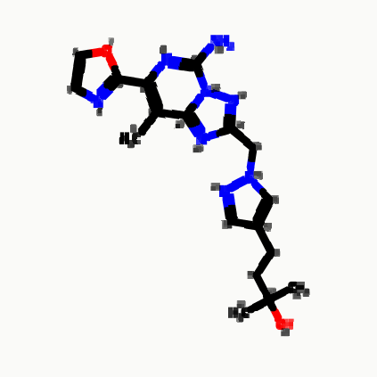 Cc1c(-c2ncco2)nc(N)n2nc(Cn3cc(CCC(C)(C)O)cn3)nc12